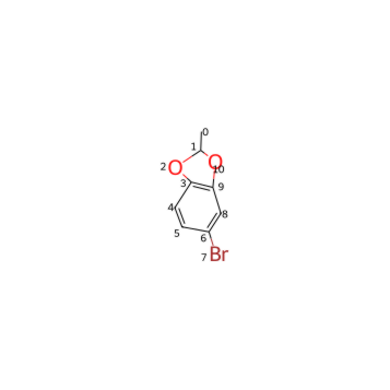 CC1Oc2ccc(Br)cc2O1